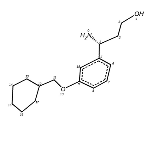 N[C@H](CCO)c1cccc(OCC2CCCCC2)c1